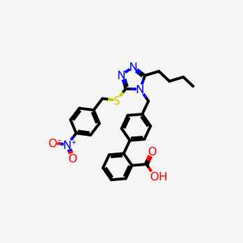 CCCCc1nnc(SCc2ccc([N+](=O)[O-])cc2)n1Cc1ccc(-c2ccccc2C(=O)O)cc1